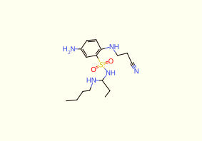 CCCCNC(CC)NS(=O)(=O)c1cc(N)ccc1NCCC#N